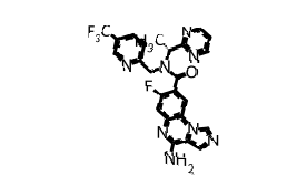 C[C@H](c1ncccn1)N(Cc1ccc(C(F)(F)F)cn1)C(=O)c1cc2c(cc1F)nc(N)c1cncn12